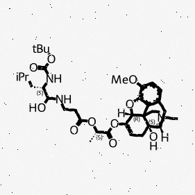 COc1ccc2c3c1O[C@H]1C(OC(=O)[C@H](C)OC(=O)CCNC(O)[C@H](CC(C)C)NC(=O)OC(C)(C)C)=CC[C@@]4(O)[C@@H](C2)N(C)CCC314